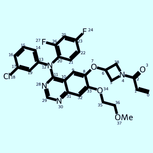 C=CC(=O)N1CC(Oc2cc3c(N(c4cccc(Cl)c4)c4ccc(F)cc4F)ncnc3cc2OCCOC)C1